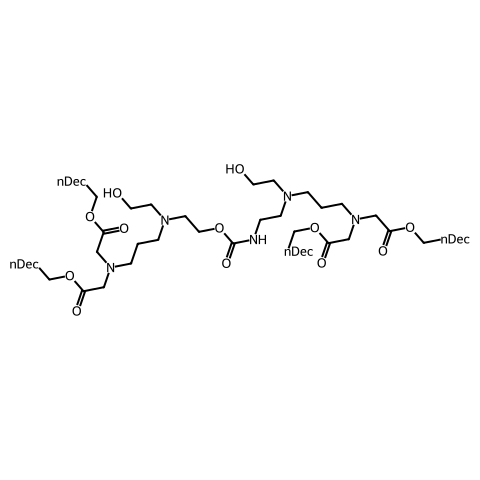 CCCCCCCCCCCOC(=O)CN(CCCN(CCO)CCNC(=O)OCCN(CCO)CCCN(CC(=O)OCCCCCCCCCCC)CC(=O)OCCCCCCCCCCC)CC(=O)OCCCCCCCCCCC